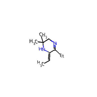 C/C=C1\NC(C)(C)CN=C1CC